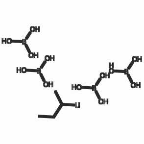 OB(O)O.OB(O)O.OB(O)O.OB(O)O.[Li][CH](C)CC